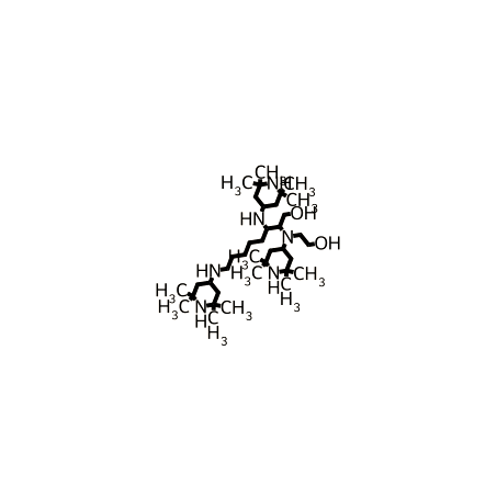 CC1(C)CC(NCCCCCC(NC2CC(C)(C)NC(C)(C)C2)C(CO)N(CCO)C2CC(C)(C)NC(C)(C)C2)CC(C)(C)N1